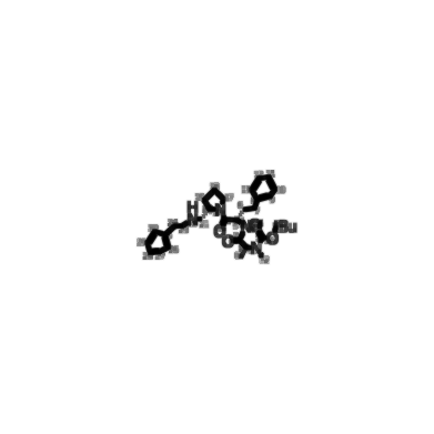 C[C@@H](C(=O)N[C@@H](CCc1ccccc1)C(=O)N1CCC[C@H]1CNCCc1ccccc1)N(C)C(=O)OC(C)(C)C